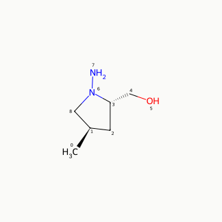 C[C@@H]1C[C@@H](CO)N(N)C1